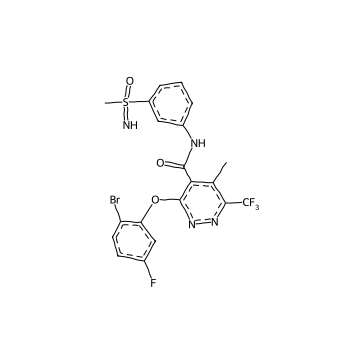 Cc1c(C(F)(F)F)nnc(Oc2cc(F)ccc2Br)c1C(=O)Nc1cccc(S(C)(=N)=O)c1